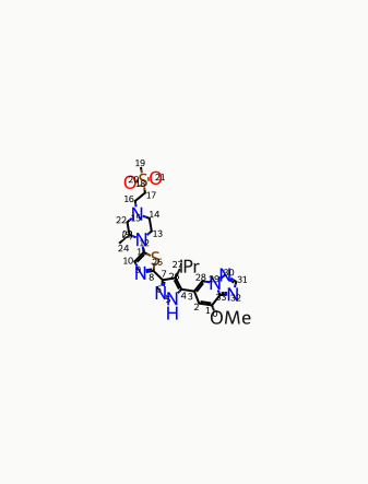 COc1cc(-c2[nH]nc(-c3ncc(N4CCN(CCS(C)(=O)=O)C[C@@H]4C)s3)c2C(C)C)cn2ncnc12